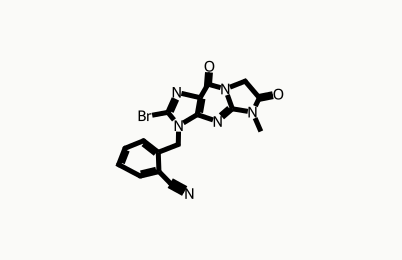 CN1C(=O)Cn2c1nc1c(nc(Br)n1Cc1ccccc1C#N)c2=O